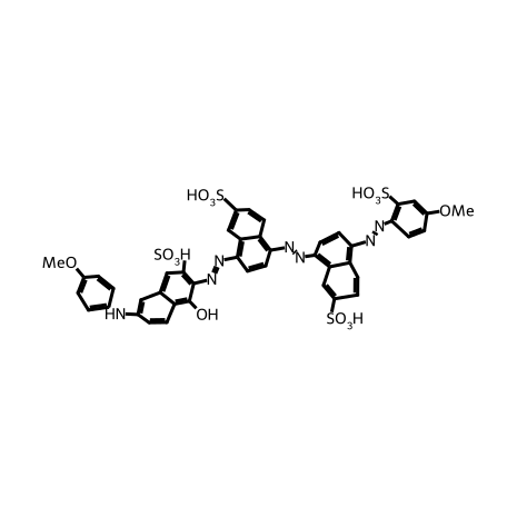 COc1ccc(Nc2ccc3c(O)c(N=Nc4ccc(N=Nc5ccc(N=Nc6ccc(OC)cc6S(=O)(=O)O)c6ccc(S(=O)(=O)O)cc56)c5ccc(S(=O)(=O)O)cc45)c(S(=O)(=O)O)cc3c2)cc1